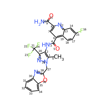 Cc1c(NC(=O)c2cc(C(N)=O)nc3cc(F)ccc23)c(C(F)(F)F)nn1Cc1nc2ccccc2o1